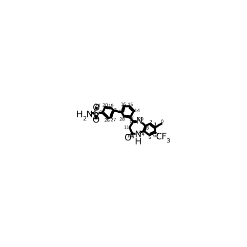 Cc1cc2c(cc1C(F)(F)F)NC(=O)CC(c1cccc(-c3ccc(S(N)(=O)=O)cc3)c1)=N2